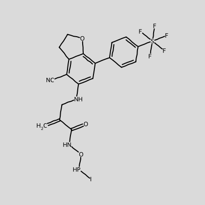 C=C(CNc1cc(-c2ccc(S(F)(F)(F)(F)F)cc2)c2c(c1C#N)CCO2)C(=O)NOPI